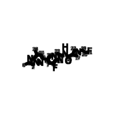 Cc1cn2nc(-c3cc(F)c4nc(NC(=O)C5CN(CCF)C5)cn4c3)cc(C)c2n1